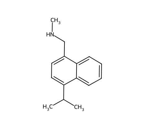 CNCc1ccc(C(C)C)c2ccccc12